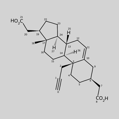 C#CC[C@]12CC[C@H](CC(=O)O)CC1=CC[C@@H]1[C@@H]2CC[C@]2(C)[C@@H](CC(=O)O)CC[C@@H]12